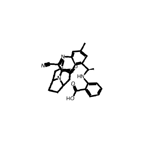 Cc1cc([C@@H](C)Nc2ccccc2C(=O)O)c2nc(N3C4CCC3CN(C)C(=O)C4)c(C#N)nc2c1